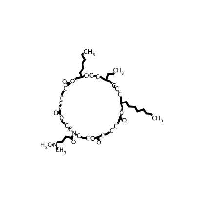 CCCCCCCCC1CCCCCC(CCC)CCCCC(CCCCCC)COC(=O)CCCCCC(=O)OCCCN(C(=O)CCCN(C)C)CCCOC(=O)CCCCCC(=O)OC1